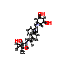 C=C1/C(=C\C=C2/CCC[C@]3(C)[C@@H]([C@H](C)/C=C/[C@@H](O)C4(C(=O)CC)CC4)CC[C@@H]23)C[C@@H](O)C[C@@H]1O